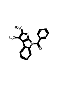 Cc1c(C(=O)O)sc2c1c1ccccc1n2C(=O)c1ccccc1